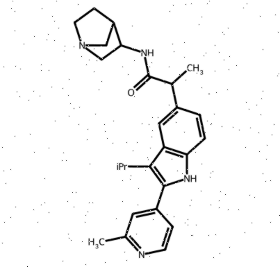 Cc1cc(-c2[nH]c3ccc(C(C)C(=O)NC4CN5CCC4C5)cc3c2C(C)C)ccn1